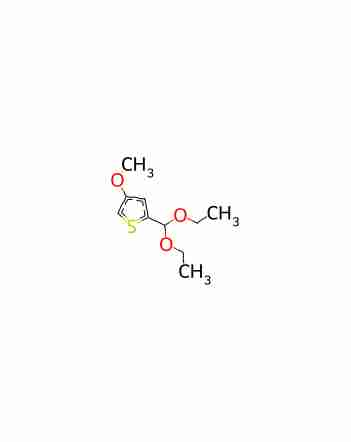 CCOC(OCC)c1cc(OC)cs1